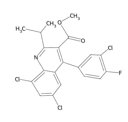 COC(=O)c1c(C(C)C)nc2c(Cl)cc(Cl)cc2c1-c1ccc(F)c(Cl)c1